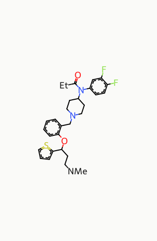 CCC(=O)N(c1ccc(F)c(F)c1)C1CCN(Cc2ccccc2OC(CCNC)c2cccs2)CC1